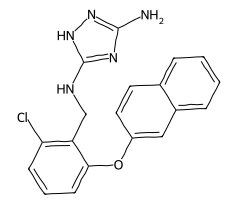 Nc1n[nH]c(NCc2c(Cl)cccc2Oc2ccc3ccccc3c2)n1